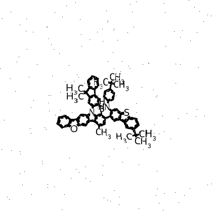 Cc1cc(-c2cc3c(cc2Nc2ccc(C(C)(C)C)cc2)sc2ccc(C(C)(C)C)cc23)c2c3c1c1cc4oc5ccccc5c4cc1n3-c1cc3c(cc1B2)-c1ccccc1C3(C)C